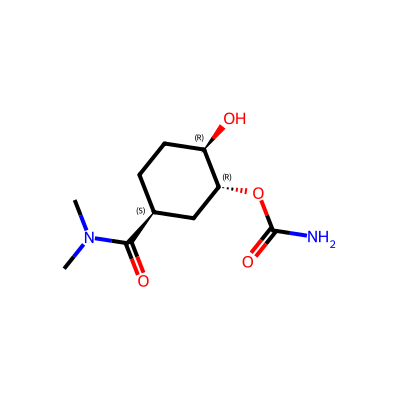 CN(C)C(=O)[C@H]1CC[C@@H](O)[C@H](OC(N)=O)C1